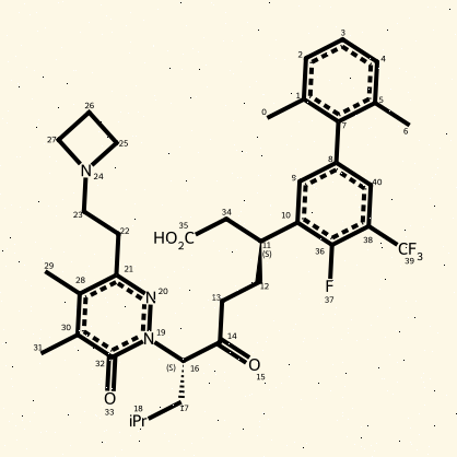 Cc1cccc(C)c1-c1cc([C@@H](CCC(=O)[C@H](CC(C)C)n2nc(CCN3CCC3)c(C)c(C)c2=O)CC(=O)O)c(F)c(C(F)(F)F)c1